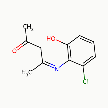 CC(=O)CC(C)=Nc1c(O)cccc1Cl